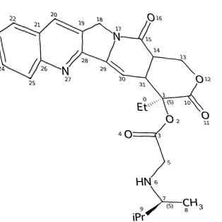 CC[C@@]1(OC(=O)CN[C@@H](C)C(C)C)C(=O)OCC2C(=O)N3Cc4cc5ccccc5nc4C3=CC21